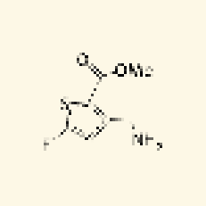 COC(=O)c1sc(F)cc1CN